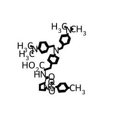 Cc1ccc(S(=O)(=O)N2CCC[C@H]2C(=O)N[C@@H](Cc2ccc(N(Cc3ccc(N(C)C)cc3)Cc3ccc(N(C)C)cc3)cc2)C(=O)O)cc1